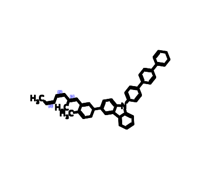 C\C=C/C=C\C(C)=C\C1=CC(c2ccc3c(c2)c2ccccc2n3-c2ccc(-c3ccc(C4=CCCC=C4)cc3)cc2)CC=C1C